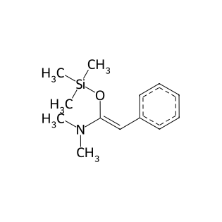 CN(C)C(=Cc1ccccc1)O[Si](C)(C)C